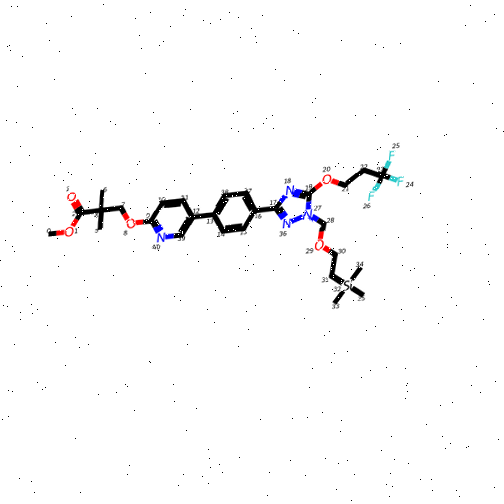 COC(=O)C(C)(C)COc1ccc(-c2ccc(-c3nc(OCCC(F)(F)F)n(COCC[Si](C)(C)C)n3)cc2)cn1